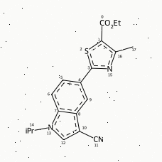 CCOC(=O)c1sc(-c2ccc3c(c2)c(C#N)cn3C(C)C)nc1C